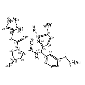 CC(=O)NCc1cccc([C@H](NC(=O)[C@@H]2C[C@@H](F)CN2C(=O)Cc2cnn[nH]2)c2ccc(C(C)C)c(F)n2)c1